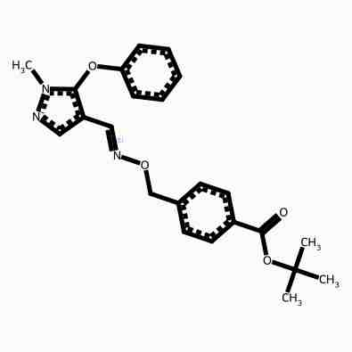 Cn1ncc(/C=N/OCc2ccc(C(=O)OC(C)(C)C)cc2)c1Oc1ccccc1